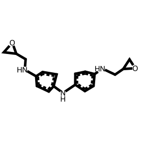 c1cc(Nc2ccc(NCC3CO3)cc2)ccc1NCC1CO1